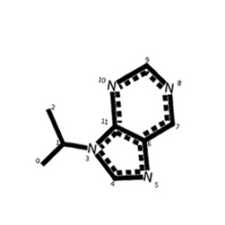 CC(C)n1cnc2cncnc21